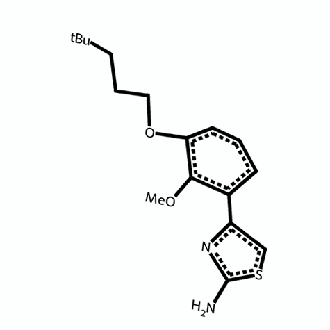 COc1c(OCCCC(C)(C)C)cccc1-c1csc(N)n1